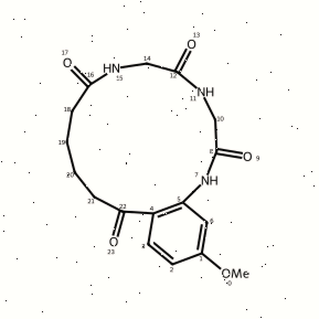 COc1ccc2c(c1)NC(=O)CNC(=O)CNC(=O)CCCCC2=O